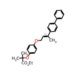 CCOC(=O)C(C)(C)Oc1ccc(OC/C=C(\C)c2ccc(-c3ccccc3)cc2)cc1